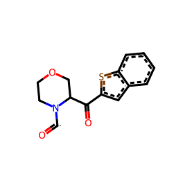 O=[C]N1CCOCC1C(=O)c1cc2ccccc2s1